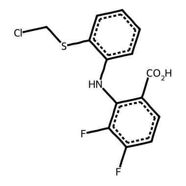 O=C(O)c1ccc(F)c(F)c1Nc1ccccc1SCCl